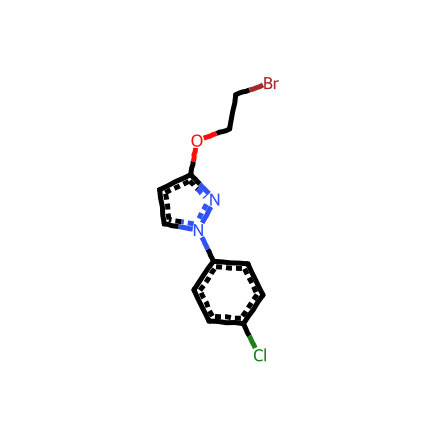 Clc1ccc(-n2ccc(OCCBr)n2)cc1